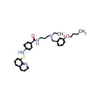 CCCCOc1cccc(CN(CC)CCCNC(=O)c2ccc(NSc3cccc4cccnc34)cc2)c1